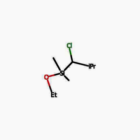 CCO[Si](C)(C)C(Cl)C(C)C